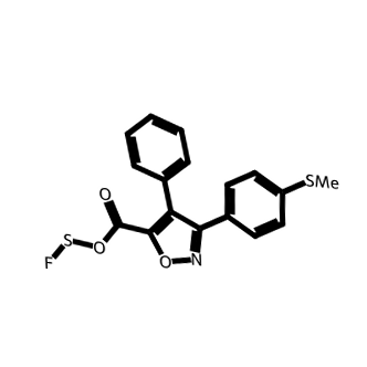 CSc1ccc(-c2noc(C(=O)OSF)c2-c2ccccc2)cc1